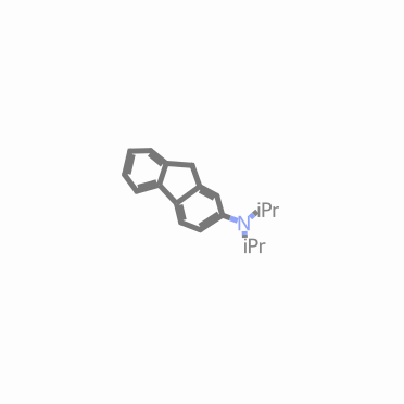 CC(C)N(c1ccc2c(c1)Cc1ccccc1-2)C(C)C